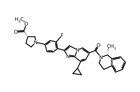 COC(=O)[C@H]1CCN(c2ccc(-c3cn4cc(C(=O)N5CCc6ccccc6[C@H]5C)cc(C5CC5)c4n3)c(F)c2)C1